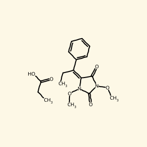 CCC(=C1C(=O)N(OC)C(=O)N1OC)c1ccccc1.CCC(=O)O